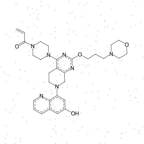 C=CC(=O)N1CCN(c2nc(OCCCN3CCOCC3)nc3c2CCN(c2cc(O)cc4cccnc24)C3)CC1